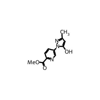 COC(=O)c1ccc(-n2nc(C)cc2O)cn1